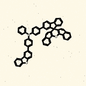 c1ccc(N(c2ccc(-c3ccc4c(c3)C3(c5ccccc5-4)c4ccc5ccccc5c4Oc4c3ccc3ccccc43)cc2)c2ccc(-c3ccc4oc5ccccc5c4c3)cc2)cc1